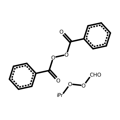 CC(C)OOC=O.O=C(OOC(=O)c1ccccc1)c1ccccc1